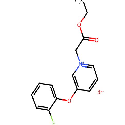 CCOC(=O)C[n+]1cccc(Oc2ccccc2F)c1.[Br-]